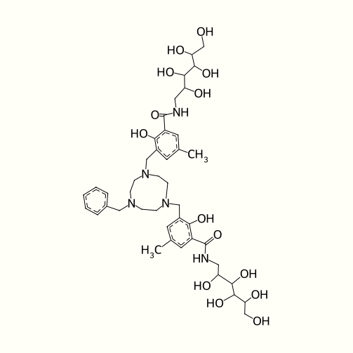 Cc1cc(CN2CCN(Cc3ccccc3)CCN(Cc3cc(C)cc(C(=O)NCC(O)C(O)C(O)C(O)CO)c3O)CC2)c(O)c(C(=O)NCC(O)C(O)C(O)C(O)CO)c1